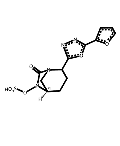 O=C1N2C[C@@H](CCC2c2nnc(-c3ccco3)o2)N1OS(=O)(=O)O